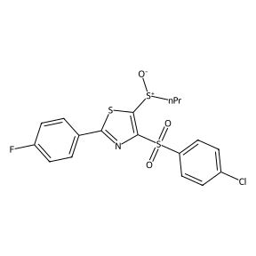 CCC[S+]([O-])c1sc(-c2ccc(F)cc2)nc1S(=O)(=O)c1ccc(Cl)cc1